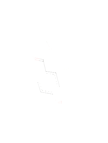 COC(=O)c1ccc(O)cc1.P